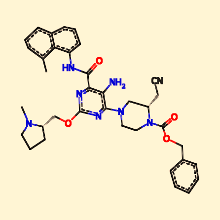 Cc1cccc2cccc(NC(=O)c3nc(OC[C@@H]4CCCN4C)nc(N4CCN(C(=O)OCc5ccccc5)[C@@H](CC#N)C4)c3N)c12